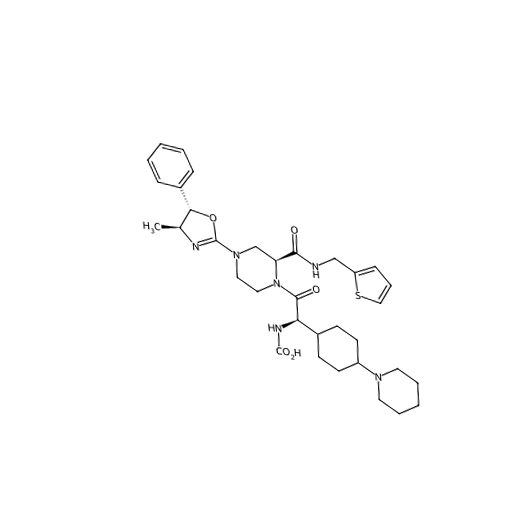 C[C@@H]1N=C(N2CCN(C(=O)[C@H](NC(=O)O)C3CCC(N4CCCCC4)CC3)[C@H](C(=O)NCc3cccs3)C2)O[C@H]1c1ccccc1